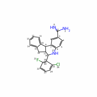 N=C(N)c1ccc2c(c1)C1c3ccccc3CC1C(c1c(F)cccc1Cl)N2